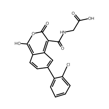 O=C(O)CNC(=O)c1c(=O)oc(O)c2ccc(-c3ccccc3Cl)cc12